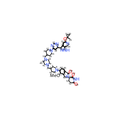 COc1c(N2CCC(CN3CCN(CC4CCN(c5cc(-c6n[nH]c7cnc(OC8(C)CC8)cc67)ncn5)CC4)[C@@H](C)C3)CC2)ccc2c1CN(C1CCC(=O)NC1=O)C2=O